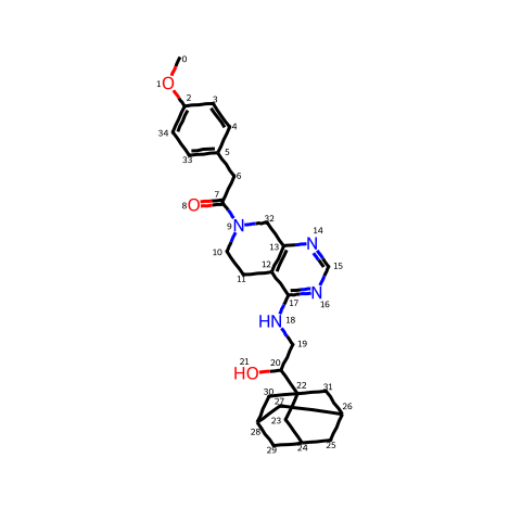 COc1ccc(CC(=O)N2CCc3c(ncnc3NCC(O)C34CC5CC(CC(C5)C3)C4)C2)cc1